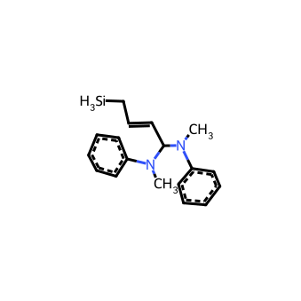 CN(c1ccccc1)C(C=CC[SiH3])N(C)c1ccccc1